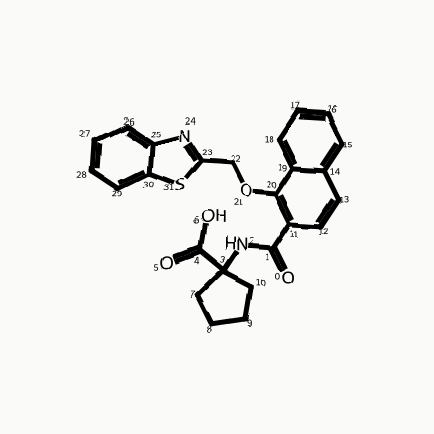 O=C(NC1(C(=O)O)CCCC1)c1ccc2ccccc2c1OCc1nc2ccccc2s1